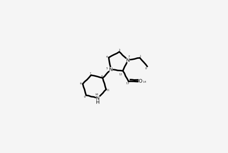 CCN1CCN(C2CCCNC2)C1C=O